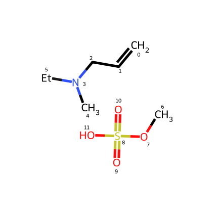 C=CCN(C)CC.COS(=O)(=O)O